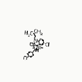 CC(C)=CCN1C(=O)C2(NN=C(c3ccc(Cl)cc3)S2)c2cc(Cl)ccc21